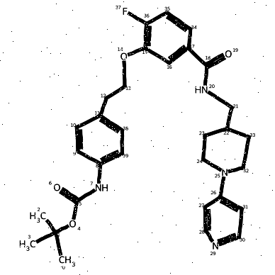 CC(C)(C)OC(=O)Nc1ccc(CCOc2cc(C(=O)NCC3CCN(c4ccncc4)CC3)ccc2F)cc1